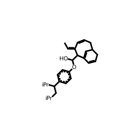 C/C=C1\C=C/CC2C=C(C=CC2)C1C(O)Oc1ccc(C(CC(C)C)C(C)C)cc1